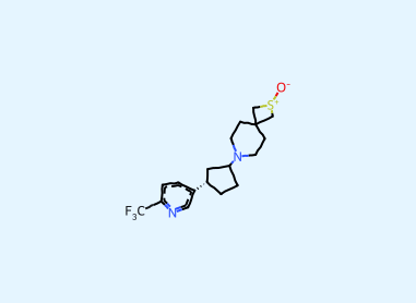 [O-][S+]1CC2(CCN(C3CC[C@H](c4ccc(C(F)(F)F)nc4)C3)CC2)C1